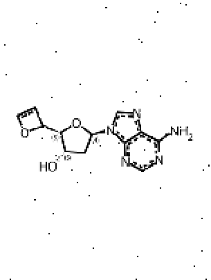 Nc1ncnc2c1ncn2[C@H]1C[C@H](O)[C@@H](C2C=CO2)O1